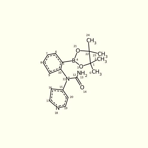 CC1(C)OB(c2ccccc2N(C(N)=O)c2ccncc2)OC1(C)C